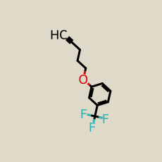 C#CCCCOc1cccc(C(F)(F)F)c1